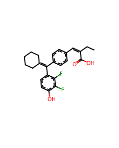 CCC(=Cc1ccc(C(=C2CCCCC2)c2ccc(O)c(F)c2F)cc1)C(=O)O